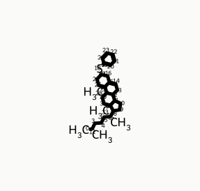 CC(C)CCCC(C)C1CCC2C3CC=C4C[C@@H](Sc5ccccc5)CC[C@]4(C)C3CC[C@]12C